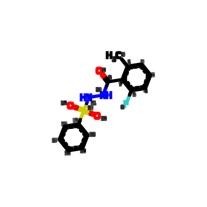 Cc1cccc(F)c1C(=O)NNS(=O)(=O)c1ccccc1